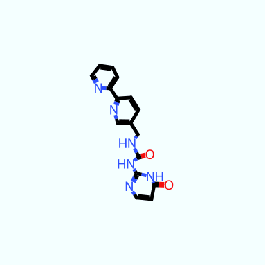 O=C(NCc1ccc(-c2ccccn2)nc1)Nc1nccc(=O)[nH]1